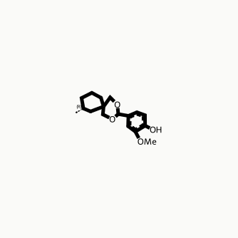 COc1cc(C2OCC3(CCC[C@@H](C)C3)CO2)ccc1O